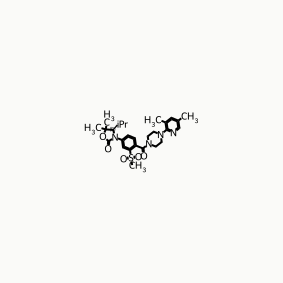 Cc1cnc(N2CCN(C(=O)c3ccc(N4C(=O)OC(C)(C)[C@H]4C(C)C)cc3S(C)(=O)=O)CC2)c(C)c1